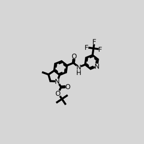 CC1CN(C(=O)OC(C)(C)C)c2cc(C(=O)Nc3cncc(C(F)(F)F)c3)ccc21